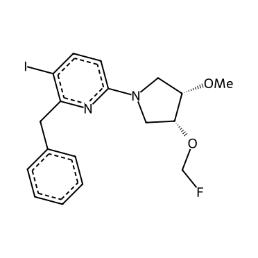 CO[C@H]1CN(c2ccc(I)c(Cc3ccccc3)n2)C[C@H]1OCF